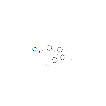 COc1ccc(C(OCc2cc(CF)cc(CNC(=O)n3ccnc3)c2)(c2ccccc2)c2ccc(OC)cc2)cc1